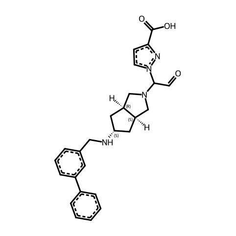 O=CC(N1C[C@H]2C[C@H](NCc3cccc(-c4ccccc4)c3)C[C@H]2C1)n1ccc(C(=O)O)n1